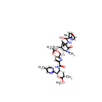 COC(=O)[C@@H](C)C[C@H](Cc1ncc(C)cn1)NC(=O)c1csc([C@@H](C[C@H](C(C)C)N(C)C(=O)C2(NC(O)[C@H]3CC4CCN3CC4)CC2)OC(C)=O)n1